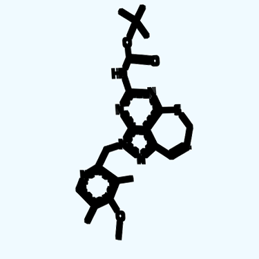 COc1c(C)cnc(Cn2nc3c4c(nc(NC(=O)OC(C)(C)C)nc42)SC[C]=C3)c1C